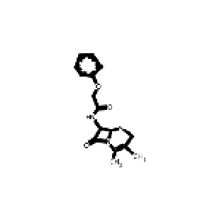 CC1=C(C)N2C(=O)C(NC(=O)COc3ccccc3)C2SC1